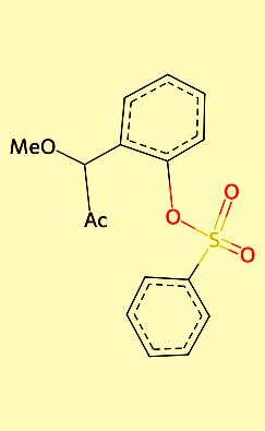 COC(C(C)=O)c1ccccc1OS(=O)(=O)c1ccccc1